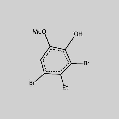 CCc1c(Br)cc(OC)c(O)c1Br